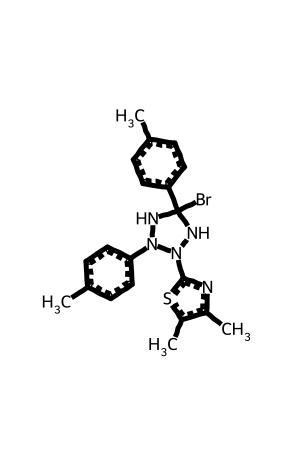 Cc1ccc(N2NC(Br)(c3ccc(C)cc3)NN2c2nc(C)c(C)s2)cc1